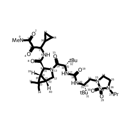 CNC(=O)C(=O)C(NC(=O)[C@@H]1[C@@H]2[C@H](CN1C(=O)[C@@H](NC(=O)N[C@H](CN1CCN(C(C)C)S1(=O)=O)C(C)(C)C)C(C)(C)C)C2(C)C)C1CC1